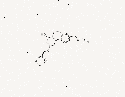 CC(C)(C)COCc1ccc2c(c1)CCN1C2=CC(OC[C@@H]2COCCO2)=NC1O